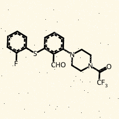 O=Cc1c(Sc2ccccc2F)cccc1N1CCN(C(=O)C(F)(F)F)CC1